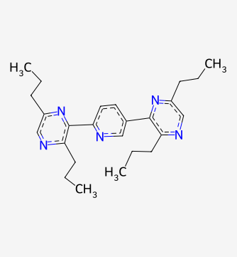 CCCc1cnc(CCC)c(-c2ccc(-c3nc(CCC)cnc3CCC)nc2)n1